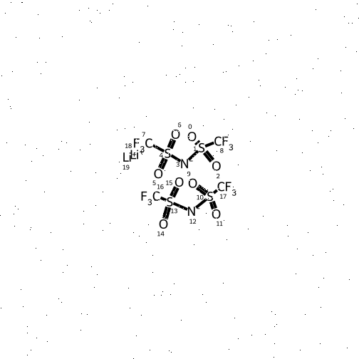 O=S(=O)([N-]S(=O)(=O)C(F)(F)F)C(F)(F)F.O=S(=O)([N-]S(=O)(=O)C(F)(F)F)C(F)(F)F.[Li+].[Li+]